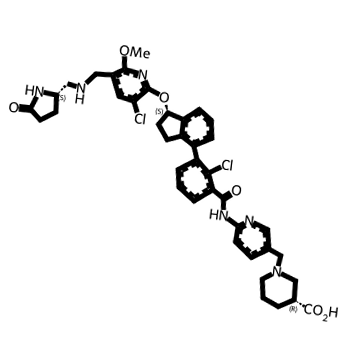 COc1nc(O[C@H]2CCc3c(-c4cccc(C(=O)Nc5ccc(CN6CCC[C@@H](C(=O)O)C6)cn5)c4Cl)cccc32)c(Cl)cc1CNC[C@@H]1CCC(=O)N1